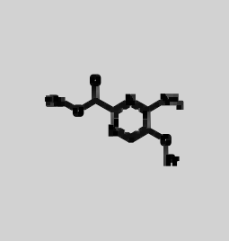 CC(C)Oc1cnc(C(=O)OC(C)(C)C)nc1N